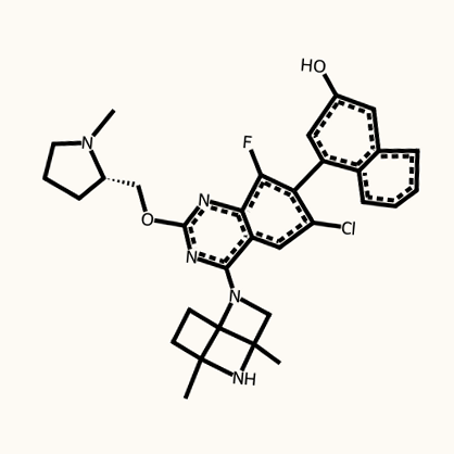 CN1CCC[C@H]1COc1nc(N2CC3(C)NC4(C)CCC243)c2cc(Cl)c(-c3cc(O)cc4ccccc34)c(F)c2n1